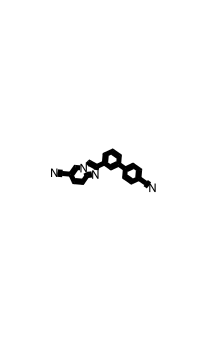 N#Cc1ccc(-c2cccc(-c3cn4cc(C#N)ccc4n3)c2)cc1